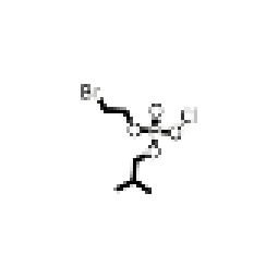 CC(C)COP(=O)(OCl)OCCBr